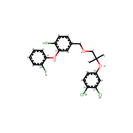 CC(C)(COCc1ccc(F)c(Oc2ccccc2F)c1)Oc1ccc(Cl)c(Cl)c1